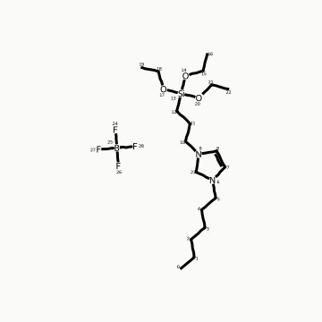 CCCCCCN1C=CN(CCC[Si](OCC)(OCC)OCC)C1.F[B-](F)(F)F